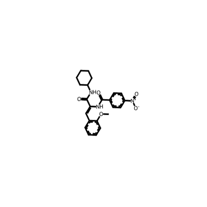 COc1ccccc1C=C(NC(=O)c1ccc([N+](=O)[O-])cc1)C(=O)NC1CCCCC1